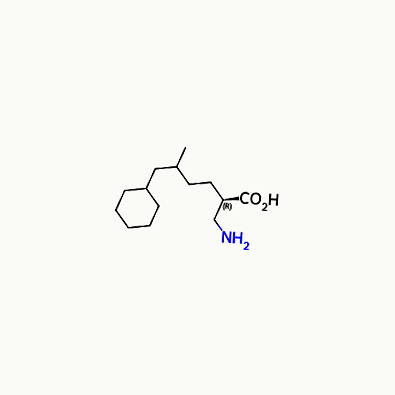 CC(CC[C@H](CN)C(=O)O)CC1CCCCC1